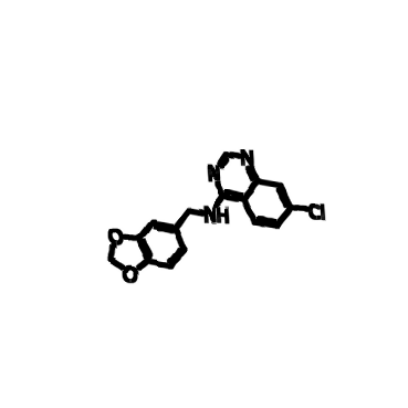 Clc1ccc2c(NCc3ccc4c(c3)OCO4)ncnc2c1